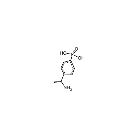 C[C@H](N)c1ccc(P(=O)(O)O)cc1